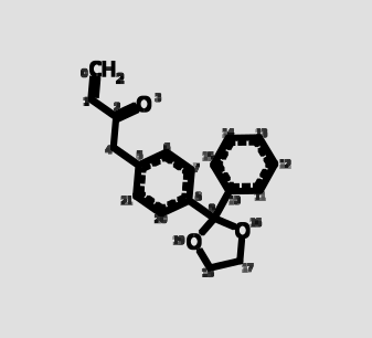 C=CC(=O)Cc1ccc(C2(c3ccccc3)OCCO2)cc1